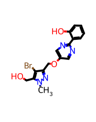 Cn1nc(COc2cnc(-c3ccccc3O)nc2)c(Br)c1CO